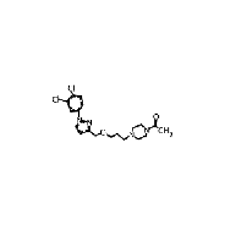 CC(=O)N1CCN(CCCOCc2ccn(-c3ccc(Cl)c(Cl)c3)n2)CC1